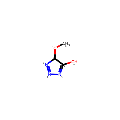 COC1N=NN=C1O